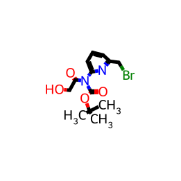 CC(C)(C)OC(=O)N(C(=O)CO)c1cccc(CBr)n1